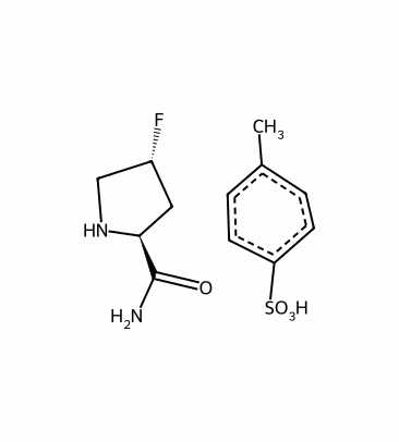 Cc1ccc(S(=O)(=O)O)cc1.NC(=O)[C@@H]1C[C@@H](F)CN1